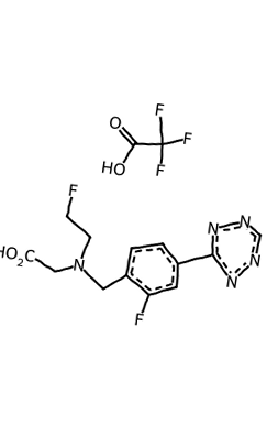 O=C(O)C(F)(F)F.O=C(O)CN(CCF)Cc1ccc(-c2nncnn2)cc1F